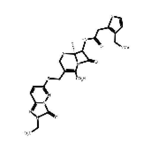 CNCc1ccsc1CC(=O)NC1C(=O)N2C(C(=O)O)=C(CSc3ccc4nn(CC(=O)O)c(=O)n4n3)CS[C@@H]12